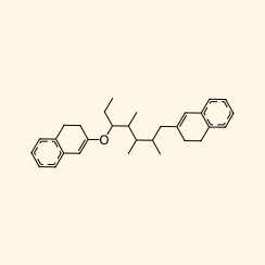 CCC(OC1=Cc2ccccc2CC1)C(C)C(C)C(C)CC1=Cc2ccccc2CC1